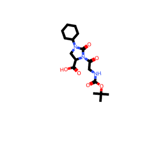 CC(C)(C)OC(=O)NCC(=O)N1C(=O)N(C2CCCCC2)CC1C(=O)O